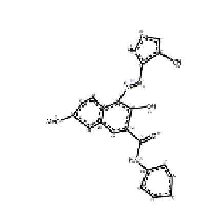 COc1ccc2c(/N=N/c3[nH]ncc3C#N)c(O)c(C(=O)Nc3ccccc3)cc2c1